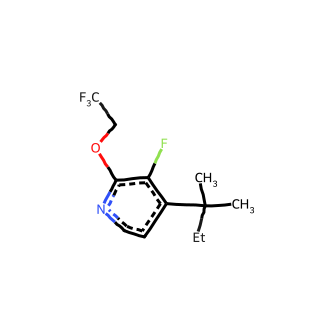 CCC(C)(C)c1ccnc(OCC(F)(F)F)c1F